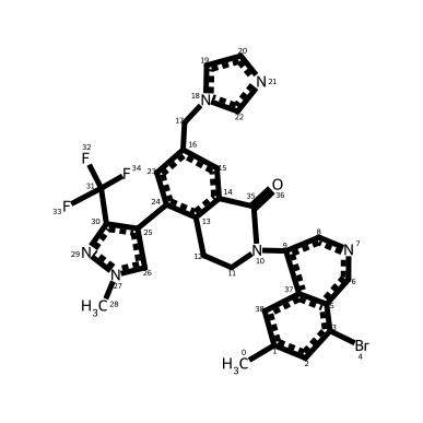 Cc1cc(Br)c2cncc(N3CCc4c(cc(Cn5ccnc5)cc4-c4cn(C)nc4C(F)(F)F)C3=O)c2c1